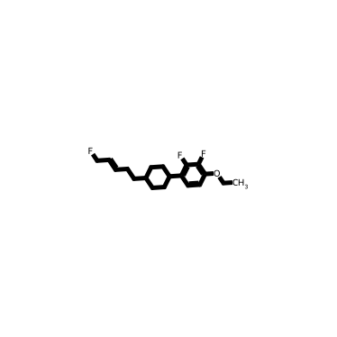 CCOc1ccc(C2CCC(CCC=CCF)CC2)c(F)c1F